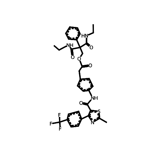 CCNC(=O)C(COC(=O)Cc1ccc(NC(=O)c2sc(C)nc2-c2ccc(C(F)(F)F)cc2)cc1)(C(=O)NCC)c1ccccc1